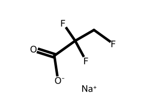 O=C([O-])C(F)(F)CF.[Na+]